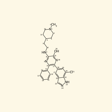 CN1CCC(CCNc2nc(-c3ccccc3)c(-c3cc(Cl)c4[nH]ncc4c3)nc2O)CC1